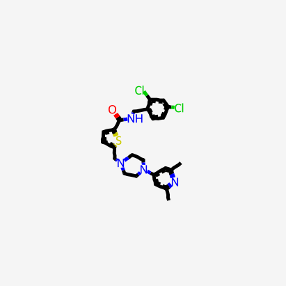 Cc1cc(N2CCN(Cc3ccc(C(=O)NCc4ccc(Cl)cc4Cl)s3)CC2)cc(C)n1